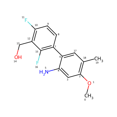 COc1cc(N)c(-c2ccc(F)c(CO)c2F)cc1C